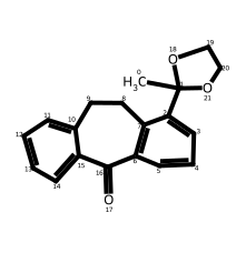 CC1(c2cccc3c2CCc2ccccc2C3=O)OCCO1